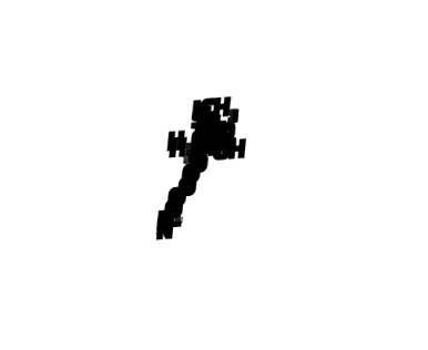 Cc1ncsc1-c1ccc(CNC(=O)[C@@H]2C[C@@H](O)CN2C(=O)[C@@H](NC(=O)CCOCCOCCOCCOCCOCCN=[N+]=[N-])C(C)(C)C)cc1